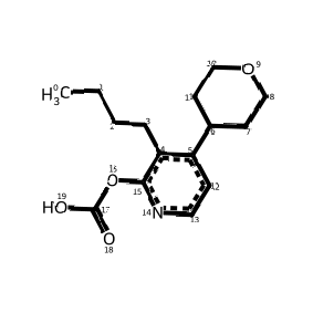 CCCCc1c(C2CCOCC2)ccnc1OC(=O)O